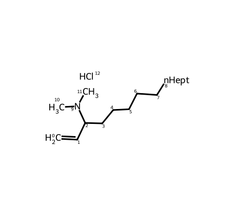 C=CC(CCCCCCCCCCCC)N(C)C.Cl